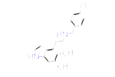 Cc1cc2[nH]ccc2c(CCNCc2ccc(Cl)cc2)c1C